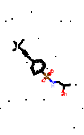 CC(O)CNS(=O)(=O)c1ccc(C#C[Si](C)(C)C)cc1